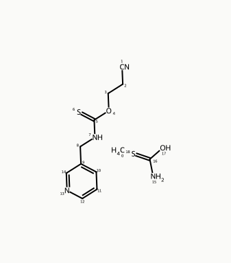 C.N#CCCOC(=S)NCc1cccnc1.NC(O)=S